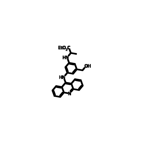 CCOC(=O)C(C)Nc1cc(CO)cc(Nc2c3ccccc3nc3ccccc23)c1